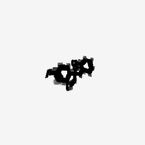 OC(CCl)(Cc1ccccc1Cl)c1ccc(F)cc1